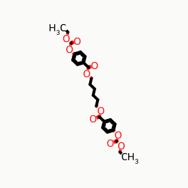 CCOC(=O)Oc1ccc(C(=O)OCCCCCCOC(=O)c2ccc(OC(=O)OCC)cc2)cc1